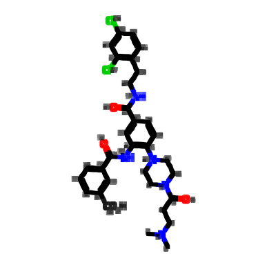 CN(C)CCC(=O)N1CCN(c2ccc(C(=O)NCCc3ccc(Cl)cc3Cl)cc2NC(=O)c2cccc(C(=O)O)c2)CC1